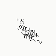 CCC(=O)O[C@@]1(C(=O)CI)CC[C@H]2[C@@H]3CCC4=CC(=O)CC[C@]4(C)[C@@]3(Cl)[C@@H](Cl)C[C@@]21C